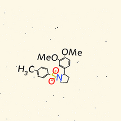 COc1ccc(C2CCCN2S(=O)(=O)c2ccc(C)cc2)cc1OC